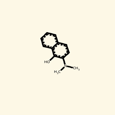 CN(C)c1ccc2ccccc2c1O